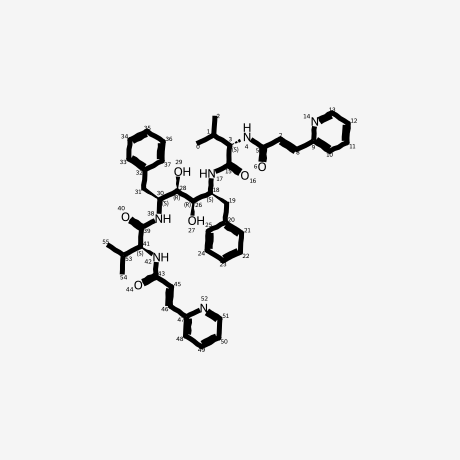 CC(C)[C@H](NC(=O)C=Cc1ccccn1)C(=O)N[C@@H](Cc1ccccc1)[C@@H](O)[C@H](O)[C@H](Cc1ccccc1)NC(=O)[C@@H](NC(=O)C=Cc1ccccn1)C(C)C